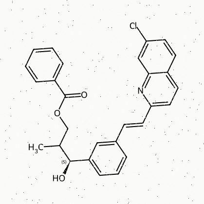 CC(COC(=O)c1ccccc1)[C@H](O)c1cccc(C=Cc2ccc3ccc(Cl)cc3n2)c1